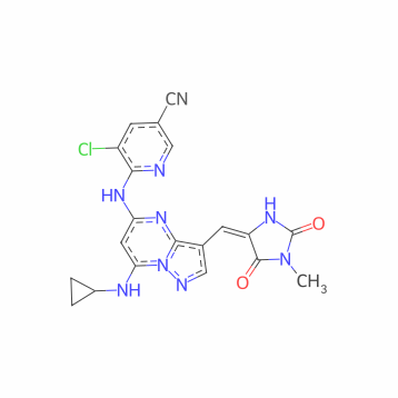 CN1C(=O)NC(=Cc2cnn3c(NC4CC4)cc(Nc4ncc(C#N)cc4Cl)nc23)C1=O